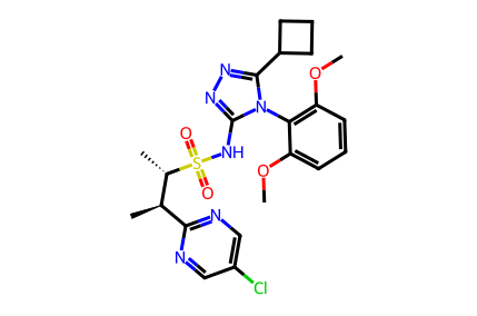 COc1cccc(OC)c1-n1c(NS(=O)(=O)[C@@H](C)[C@H](C)c2ncc(Cl)cn2)nnc1C1CCC1